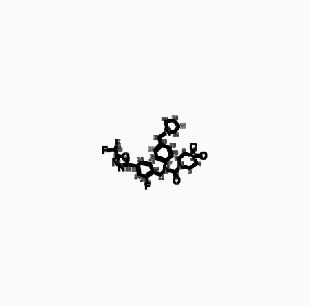 O=C(N1CCS(=O)(=O)CC1)N(Cc1ccc(-c2nnc(C(F)F)o2)cc1F)c1ccc(CN2CCCC2)cc1